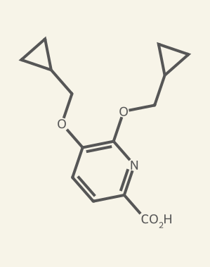 O=C(O)c1ccc(OCC2CC2)c(OCC2CC2)n1